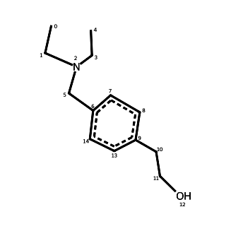 CCN(CC)Cc1ccc(CCO)cc1